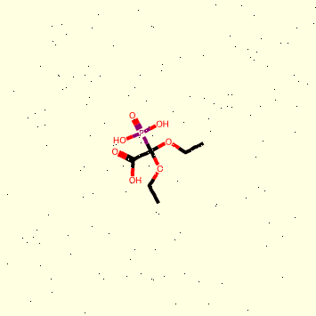 CCOC(OCC)(C(=O)O)P(=O)(O)O